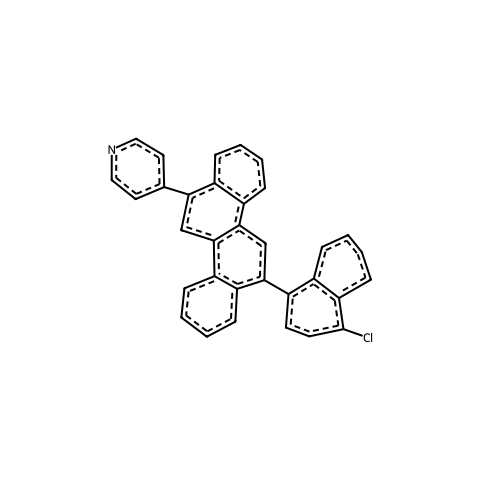 Clc1ccc(-c2cc3c4ccccc4c(-c4ccncc4)cc3c3ccccc23)c2ccccc12